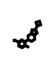 Cc1cnc(Cl)nc1N1CCc2nc(C3CCC3)sc2C1